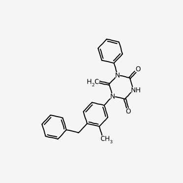 C=C1N(c2ccccc2)C(=O)NC(=O)N1c1ccc(Cc2ccccc2)c(C)c1